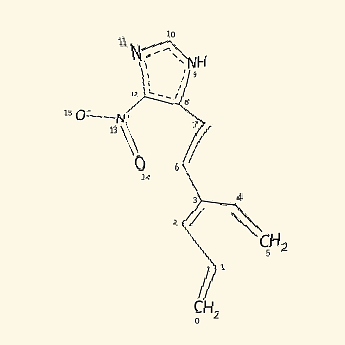 C=C/C=C(C=C)/C=C/c1[nH]cnc1[N+](=O)[O-]